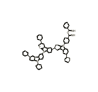 N=C(OC(=N)c1ccc(-n2c3c(c4cc(C5=CC=CCC5)ccc42)=CC(c2ccc4c(c2)c2cc(-c5ccccc5)ccc2n4-c2ccc4c(c2)c2cc(-c5ccccc5)ccc2n4-c2ccccc2)CC=3)cc1)c1ccccc1